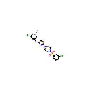 O=S(=O)(c1cccc(Br)c1)N1CCN(c2nc(Cc3cc(F)cc(F)c3)cs2)CC1